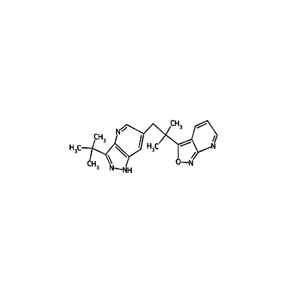 CC(C)(C)c1n[nH]c2cc(CC(C)(C)c3onc4ncccc34)cnc12